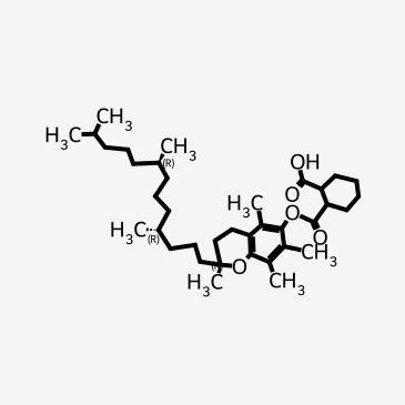 Cc1c(C)c2c(c(C)c1OC(=O)C1CCCCC1C(=O)O)CC[C@@](C)(CCC[C@H](C)CCC[C@H](C)CCCC(C)C)O2